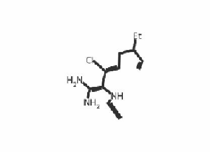 C=CNC(C(Cl)=CCC(C=C)CC)=C(N)N